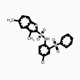 Cc1ccc2sc(S(=O)(=O)Nc3ccc(Cl)cc3S(=O)(=O)c3ccccc3)c(C)c2c1